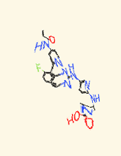 C=CC(=O)Nc1ccnc(-c2c(F)ccc3cnc(Nc4ccc(NC5CN(C(=O)O)C5)nc4)nc23)c1